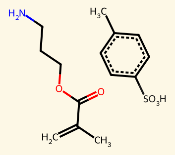 C=C(C)C(=O)OCCCN.Cc1ccc(S(=O)(=O)O)cc1